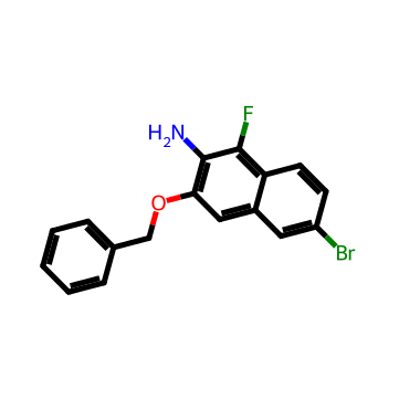 Nc1c(OCc2ccccc2)cc2cc(Br)ccc2c1F